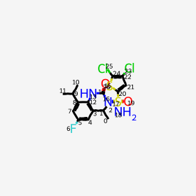 CC(C)c1cc(F)cc(C(C)C)c1NC(=O)N=S(N)(=O)c1cc(Cl)c(Cl)s1